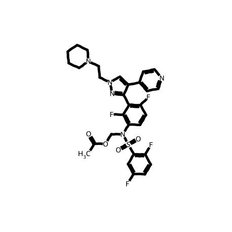 CC(=O)OCN(c1ccc(F)c(-c2nn(CCN3CCCCC3)cc2-c2ccncc2)c1F)S(=O)(=O)c1cc(F)ccc1F